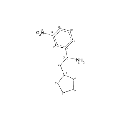 N[C@H](CN1CCCC1)c1cccc([N+](=O)[O-])c1